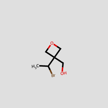 CC(Br)C1(CO)COC1